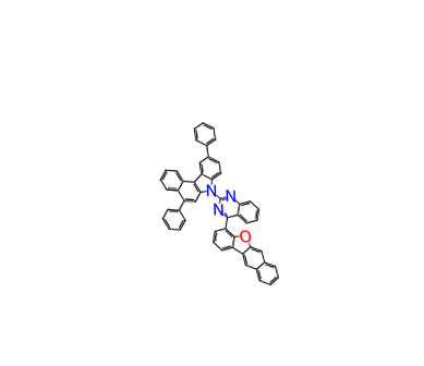 c1ccc(-c2ccc3c(c2)c2c4ccccc4c(-c4ccccc4)cc2n3-c2nc(-c3cccc4c3oc3cc5ccccc5cc34)c3ccccc3n2)cc1